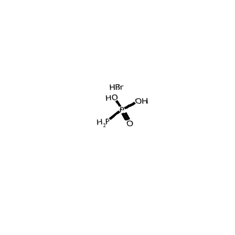 Br.O=P(O)(O)P